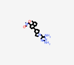 Cc1cccc2c(-c3ccc4c(c3)CCN4Cc3cnc(N)nc3N)ccc(C(=O)N(C)C=O)c12